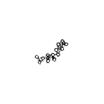 c1ccc(-n2c3ccccc3c3cc(N4c5ccccc5B5c6c(cccc64)-c4ccc(-c6cccc7sc8c(N9c%10ccccc%10B%10c%11c(cccc%119)-c9cccc%11c%12ccccc%12n%10c9%11)cccc8c67)c6c7ccccc7n5c46)ccc32)cc1